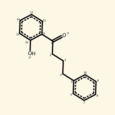 O=C(CCCc1ccccc1)c1c[c]ccc1O